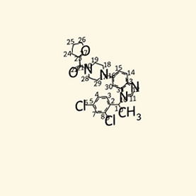 CC(c1ccc(Cl)cc1Cl)n1cnc2ccc(N3CCN(C(=O)[C@H]4CCCO4)CC3)cc21